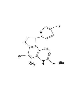 CC(=O)c1c(C)c(NC(=O)CC(C)(C)C)c(C)c2c1OCC2c1ccc(C(C)C)cc1